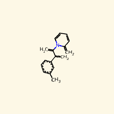 C=C(C(=C)N1C=CC=CC1=C)c1cccc(C)c1